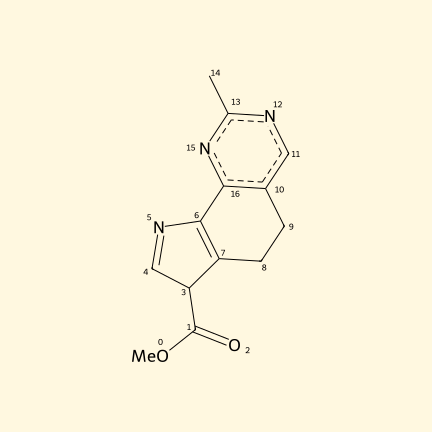 COC(=O)C1C=NC2=C1CCc1cnc(C)nc12